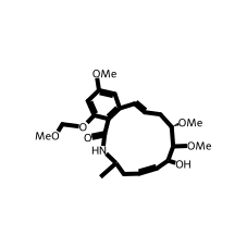 COCOc1cc(OC)cc2c1C(=O)NC(C)C/C=C\C(O)C(OC)[C@@H](OC)C/C=C/2